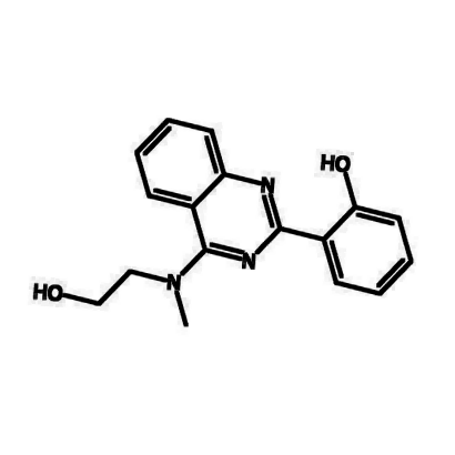 CN(CCO)c1nc(-c2ccccc2O)nc2ccccc12